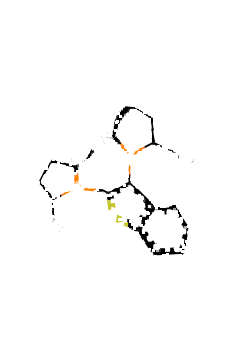 CC1CCCP1c1c(P2C(C)CC[C@H]2C)sc2ccccc12